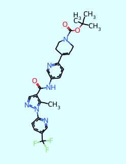 Cc1c(C(=O)Nc2ccc(C3=CCN(C(=O)OC(C)(C)C)CC3)nc2)cnn1-c1ccc(C(F)(F)F)cn1